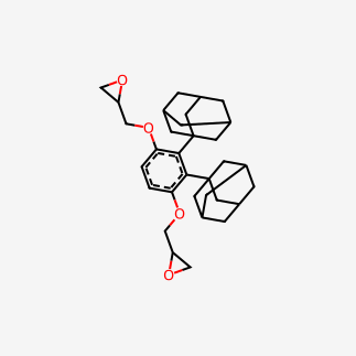 c1cc(OCC2CO2)c(C23CC4CC(CC(C4)C2)C3)c(C23CC4CC(CC(C4)C2)C3)c1OCC1CO1